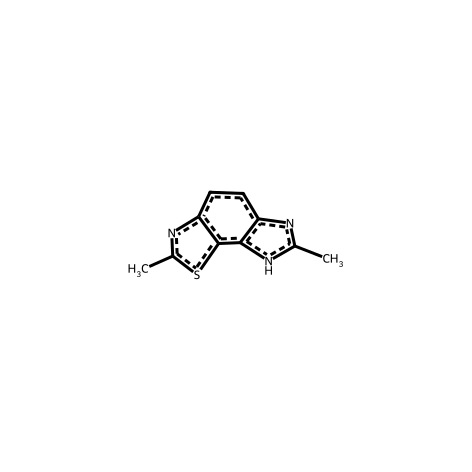 Cc1nc2ccc3nc(C)sc3c2[nH]1